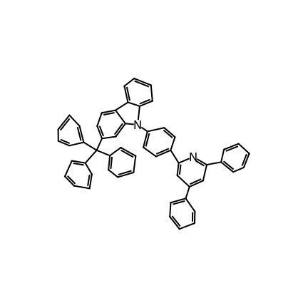 c1ccc(-c2cc(-c3ccccc3)nc(-c3ccc(-n4c5ccccc5c5ccc(C(c6ccccc6)(c6ccccc6)c6ccccc6)cc54)cc3)c2)cc1